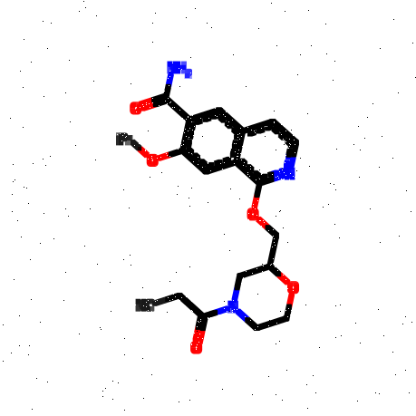 CC(C)Oc1cc2c(OCC3CN(C(=O)CC#N)CCO3)nccc2cc1C(N)=O